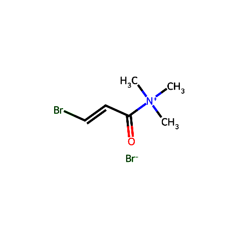 C[N+](C)(C)C(=O)C=CBr.[Br-]